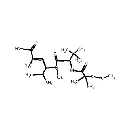 COCC(C)(N)C(=O)NC(C(=O)N(C)C(/C=C(\C)C(=O)O)C(C)C)C(C)(C)C